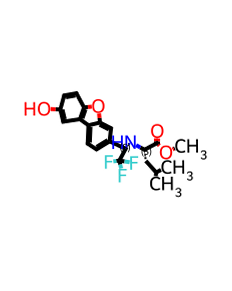 COC(=O)[C@H](CC(C)C)N[C@@H](c1ccc2c(c1)oc1ccc(O)cc12)C(F)(F)F